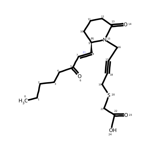 CCCCCC(=O)/C=C/[C@H]1CCCC(=O)N1CC#CCSCC(=O)O